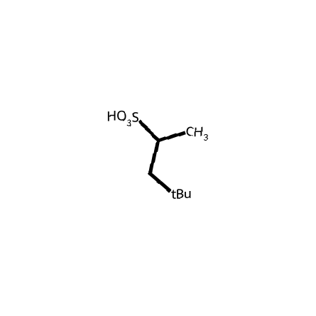 CC(CC(C)(C)C)S(=O)(=O)O